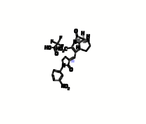 O=C(O)C(F)(F)F.O=C(O)C1=C(/C=C2\CCN(c3cccc([N+](=O)[O-])c3)C2=O)C2CCN[C@@H]3C(=O)N1[C@H]23